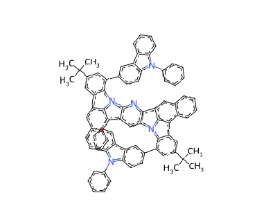 CC(C)(C)c1cc(-c2ccc3c(c2)c2ccccc2n3-c2ccccc2)c2c(c1)c1c3ccccc3cc3c4nc5c(cc4n2c31)c1c2ccccc2cc2c3cc(C(C)(C)C)cc(-c4ccc6c(c4)c4ccccc4n6-c4ccccc4)c3n5c21